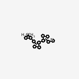 CC1(C)c2ccccc2-c2cc(-c3ccc(N4c5ccccc5-c5ccccc5-c5cc(-c6ccc7c(c6)-c6ccccc6-c6ccccc6N7c6cccc(-c7ccccn7)c6)ccc54)cc3)ccc21